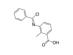 Cc1c(N=C(Cl)c2ccccc2)cccc1C(=O)O